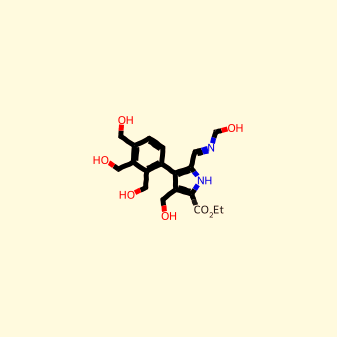 CCOC(=O)c1[nH]c(/C=N/CO)c(-c2ccc(CO)c(CO)c2CO)c1CO